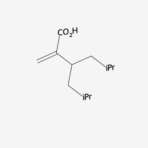 C=C(C(=O)O)C(CC(C)C)CC(C)C